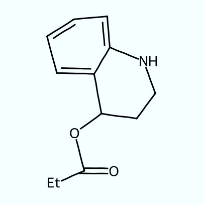 CCC(=O)OC1CCNc2ccccc21